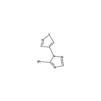 CC(C)c1ncnn1-c1cnsc1